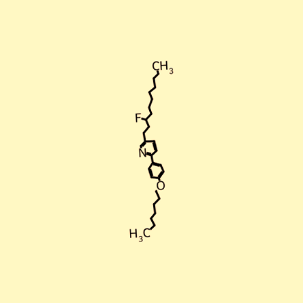 CCCCCCCCC(F)CCc1ccc(-c2ccc(OCCCCCCC)cc2)nc1